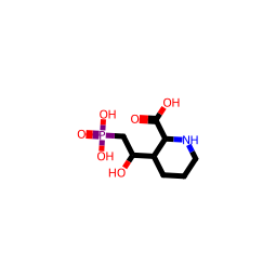 O=C(O)C1NCCCC1C(O)CP(=O)(O)O